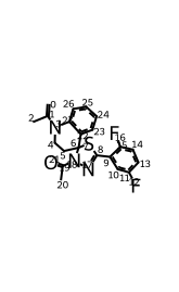 C=C(C)N1CCC2(SC(c3cc(F)ccc3F)=NN2C(C)=O)c2ccccc21